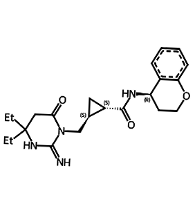 CCC1(CC)CC(=O)N(C[C@H]2C[C@@H]2C(=O)N[C@@H]2CCOc3ccccc32)C(=N)N1